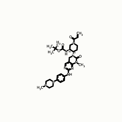 C=CC(=O)N1CC[C@H](N2Cc3cnc(Nc4ccc(N5CCN(C)CC5)cc4)nc3N(C)C2=O)[C@@H](NC(=O)OC(C)(C)C)C1